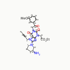 CC#CCn1c(N2CCCC(N)C2)nc2c1c(=O)n(CC(=O)c1cccc(OC)c1)c(=O)n2CC(=O)OCC